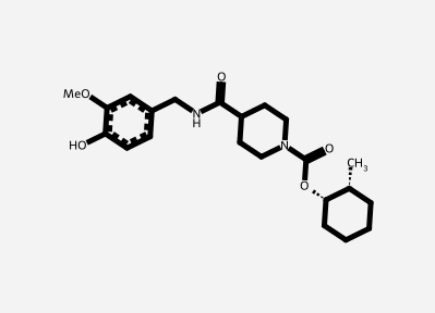 COc1cc(CNC(=O)C2CCN(C(=O)O[C@H]3CCCC[C@H]3C)CC2)ccc1O